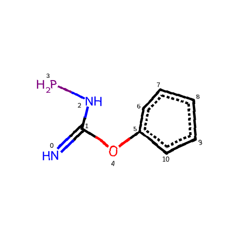 N=C(NP)Oc1ccccc1